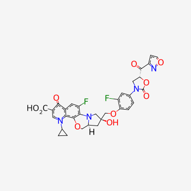 O=C(O)c1cn(C2CC2)c2c3c(c(F)cc2c1=O)N1C[C@](O)(COc2ccc(N4C[C@H](C(=O)c5ccon5)OC4=O)cc2F)C[C@H]1CO3